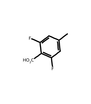 Cc1cc(F)c(C(=O)O)c(F)c1